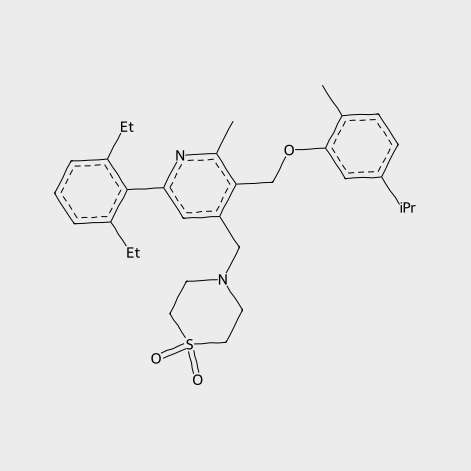 CCc1cccc(CC)c1-c1cc(CN2CCS(=O)(=O)CC2)c(COc2cc(C(C)C)ccc2C)c(C)n1